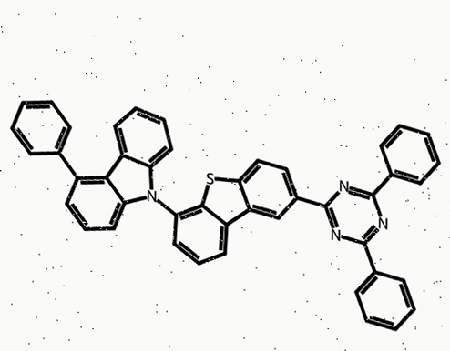 c1ccc(-c2nc(-c3ccccc3)nc(-c3ccc4sc5c(-n6c7ccccc7c7c(-c8ccccc8)cccc76)cccc5c4c3)n2)cc1